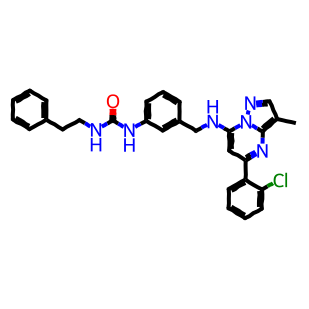 Cc1cnn2c(NCc3cccc(NC(=O)NCCc4ccccc4)c3)cc(-c3ccccc3Cl)nc12